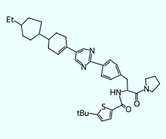 CCC1CCC(C2CC=C(c3cnc(-c4ccc(CC(NC(=O)c5ccc(C(C)(C)C)s5)C(=O)N5CCCC5)cc4)nc3)CC2)CC1